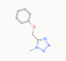 Cn1nnnc1COc1ccccc1